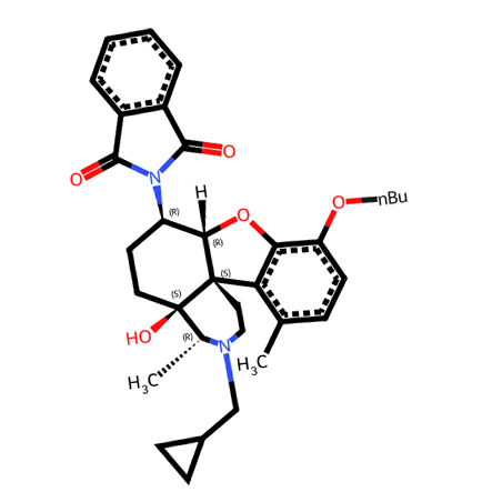 CCCCOc1ccc(C)c2c1O[C@H]1[C@H](N3C(=O)c4ccccc4C3=O)CC[C@@]3(O)[C@@H](C)N(CC4CC4)CC[C@]213